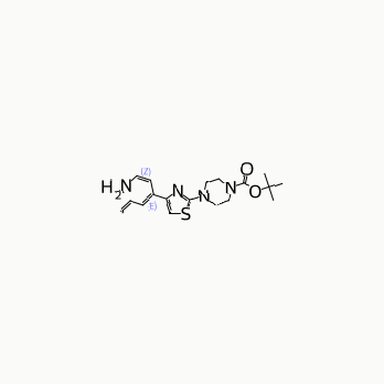 C=C/C=C(\C=C/N)c1csc(N2CCN(C(=O)OC(C)(C)C)CC2)n1